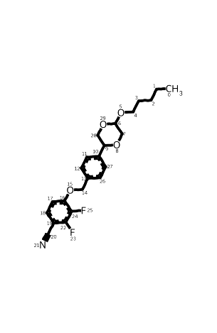 CCCCCOC1COC(c2ccc(COc3ccc(C#N)c(F)c3F)cc2)CO1